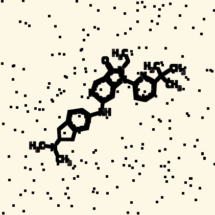 CCn1c(=O)c2cnc(Nc3ccc4c(c3)CC(N(C)C)C4)cc2n1-c1cccc(C(C)(C)C)n1